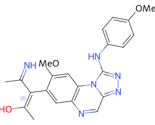 COc1ccc(Nc2nnc3cnc4cc(/C(C(C)=N)=C(\C)O)c(OC)cc4n23)cc1